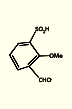 COc1c([C]=O)cccc1S(=O)(=O)O